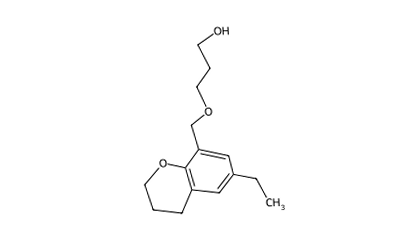 CCc1cc2c(c(COCCCO)c1)OCCC2